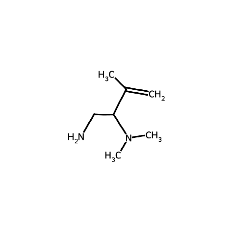 C=C(C)C(CN)N(C)C